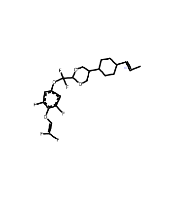 C/C=C/C1CCC(C2COC(C(F)(F)Oc3cc(F)c(OC=C(F)F)c(F)c3)OC2)CC1